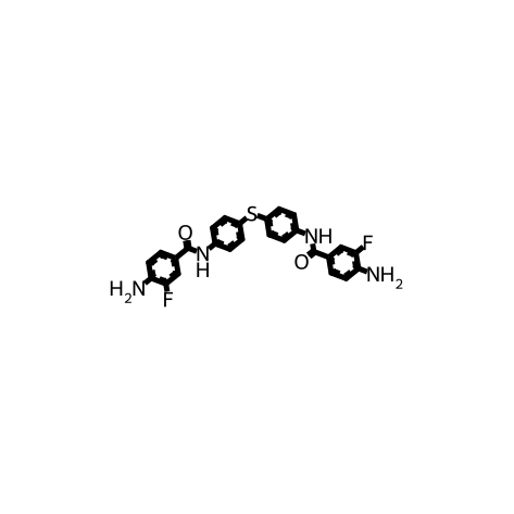 Nc1ccc(C(=O)Nc2ccc(Sc3ccc(NC(=O)c4ccc(N)c(F)c4)cc3)cc2)cc1F